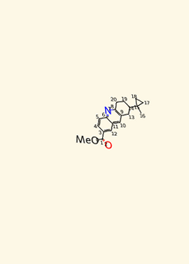 COC(=O)c1ccc2nc3c(cc2c1)CC(C1(C)CC1)CC3